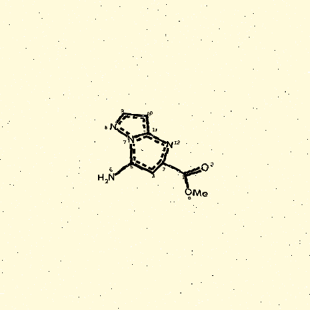 COC(=O)c1cc(N)n2nccc2n1